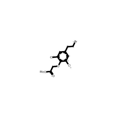 COC(=O)COc1c(Cl)cc(CCBr)cc1Cl